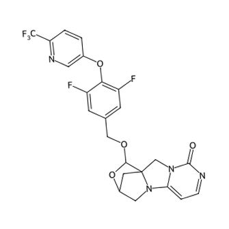 O=c1nccc2n1CC13CC(CN21)OC3OCc1cc(F)c(Oc2ccc(C(F)(F)F)nc2)c(F)c1